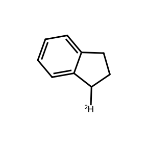 [2H]C1CCc2ccccc21